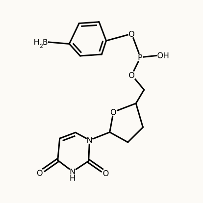 Bc1ccc(OP(O)OCC2CCC(n3ccc(=O)[nH]c3=O)O2)cc1